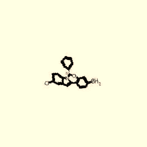 Bc1ccc2c(c1)O[C@@H](c1ccccc1)n1c-2cc2cc(Cl)ccc21